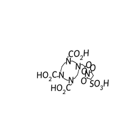 O=C(O)CN1CCCN(CC(=O)O)CCN(CC(=O)ON2C(=O)CC(S(=O)(=O)O)C2=O)CCCN(CC(=O)O)CC1